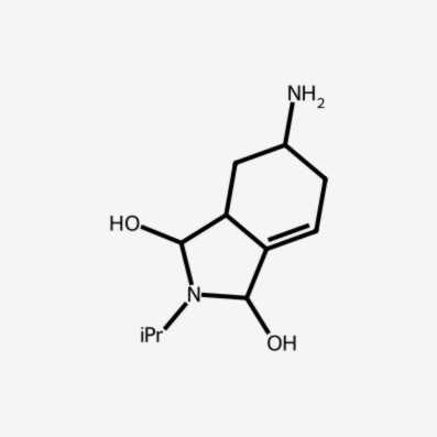 CC(C)N1C(O)C2=CCC(N)CC2C1O